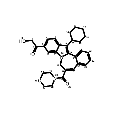 O=C(CO)c1ccc2c(C3CCCCC3)c3n(c2c1)CC(C(=O)N1CCOCC1)=Cc1ccccc1-3